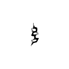 Ic1ccc(-c2cc3sc(I)cc3s2)s1